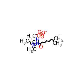 CCC[N+](C)(CC)CNC(=O)CCCCCC(C)C.CCOS(=O)(=O)[O-]